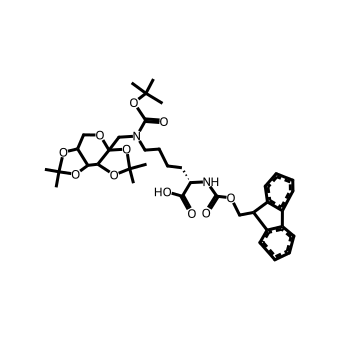 CC(C)(C)OC(=O)N(CCCC[C@H](NC(=O)OCC1c2ccccc2-c2ccccc21)C(=O)O)CC12OCC3OC(C)(C)OC3C1OC(C)(C)O2